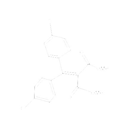 COC(=O)C(C(=O)OC)=C(c1ccc(Cl)cc1)c1ccc(Cl)cc1